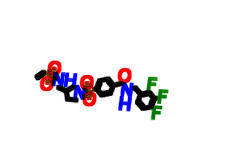 C=CS(=O)(=O)NCC1CCN(S(=O)(=O)c2ccc(C(=O)NCc3ccc(F)c(F)c3F)cc2)C1